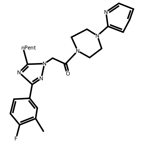 CCCCCc1nc(-c2ccc(F)c(C)c2)nn1CC(=O)N1CCN(c2ccccn2)CC1